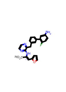 Nc1ccc(F)c(-c2cccc(Cc3nccnc3N/C(=C\c3ccco3)C(=O)O)c2)c1